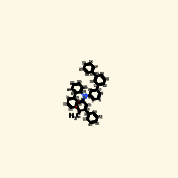 CC1CC=C(N(c2cccc(-c3cccc(-c4ccccc4)c3)c2)c2ccccc2-c2ccccc2)C=C1c1ccccc1